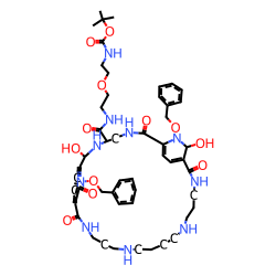 CC(C)(C)OC(=O)NCCOCCNC(=O)C1CNC(=O)C2=CC=C(C(=O)NCCCNCCCCNCCCNC(=O)c3ccc(n(OCc4ccccc4)c3=O)C(O)N1)C(O)N2OCc1ccccc1